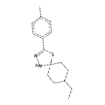 CCC1CCC2(CC1)NN=C(c1ccc(C)cc1)S2